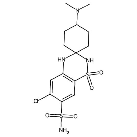 CN(C)C1CCC2(CC1)Nc1cc(Cl)c(S(N)(=O)=O)cc1S(=O)(=O)N2